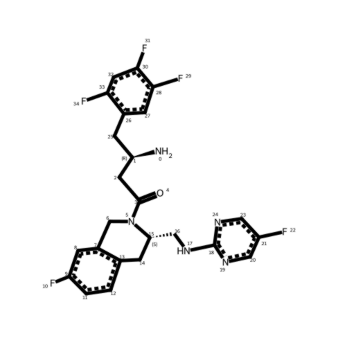 N[C@@H](CC(=O)N1Cc2cc(F)ccc2C[C@H]1CNc1ncc(F)cn1)Cc1cc(F)c(F)cc1F